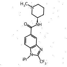 CC(C)n1c(C(F)(F)F)nc2cc(C(=O)N[C@@H]3CCCN(C)C3)ccc21